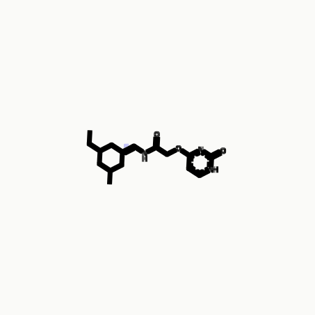 CCC1C/C(=C/NC(=O)COc2cc[nH]c(=O)n2)CC(C)C1